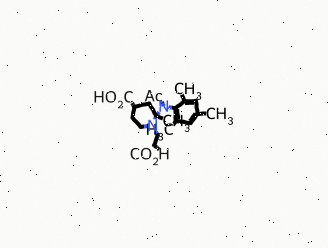 CC(=O)N(c1c(C)cc(C)cc1C)C1(C)CC(C(=O)O)CCN1CCC(=O)O